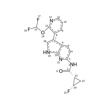 O=C(Nc1ccc2c(-c3cccnc3OC(F)F)c[nH]c2n1)[C@@H]1C[C@@H]1F